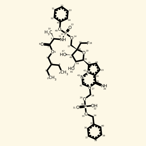 CCC(CC)COC(=O)[C@H](C)N[P@](=O)(OC[C@@]1(CF)O[C@@H](c2ccc3c(=N)n(COP(=O)(O)OCc4ccccc4)cnn23)[C@H](O)[C@@H]1O)Oc1ccccc1